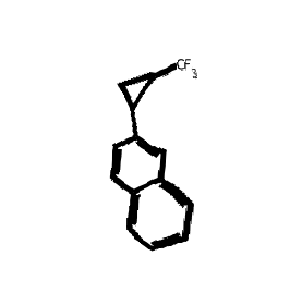 FC(F)(F)C1CC1c1ccc2ccccc2c1